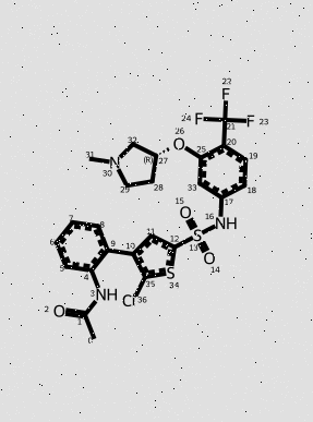 CC(=O)Nc1ccccc1-c1cc(S(=O)(=O)Nc2ccc(C(F)(F)F)c(O[C@@H]3CCN(C)C3)c2)sc1Cl